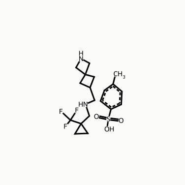 Cc1ccc(S(=O)(=O)O)cc1.FC(F)(F)C1(CNCC2CC3(CNC3)C2)CC1